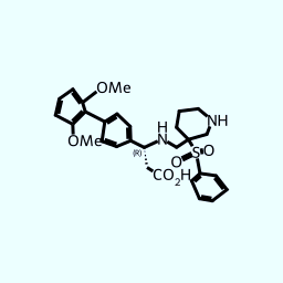 COc1cccc(OC)c1-c1ccc([C@@H](CC(=O)O)NCC2(S(=O)(=O)c3ccccc3)CCCNC2)cc1